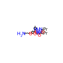 Cc1ccc(C(OC(=O)C(C)NC(=O)C(CC(C)C)NC(=O)C(N)C(C)C)c2ccc(OCCCCCN)cc2)cc1